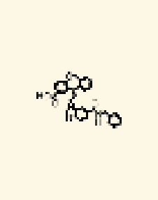 O=C(O)c1ccc2c(c1)C(=CCn1cnc3ccc(C(=O)NCc4ccccc4)cc31)c1ccccc1CO2